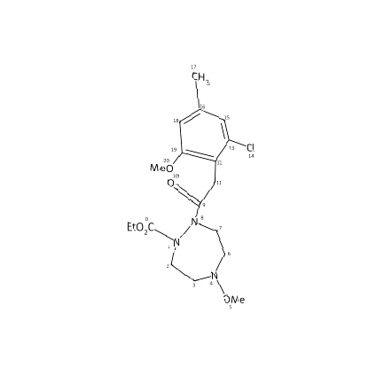 CCOC(=O)N1CCN(OC)CCN1C(=O)Cc1c(Cl)cc(C)cc1OC